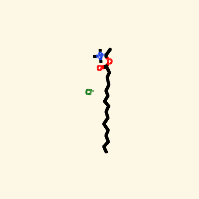 CCCCCCCCCCCCCCCC(=O)OC(C)[N+](C)(C)C.[Cl-]